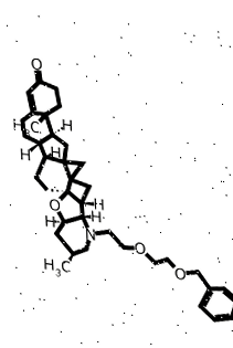 C[C@H]1C[C@H]2O[C@@]34CC[C@H]5[C@@H]6CCC7=CC(=O)CCC7(C)[C@H]6CC56CC63C[C@@H]4[C@@H]2N(CCOCCOCc2ccccc2)C1